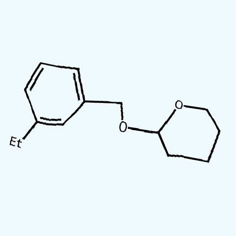 CCc1cccc(COC2CCCCO2)c1